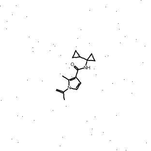 C=C(C)n1ccc(C(=O)NC2(C3CC3)CC2)c1C